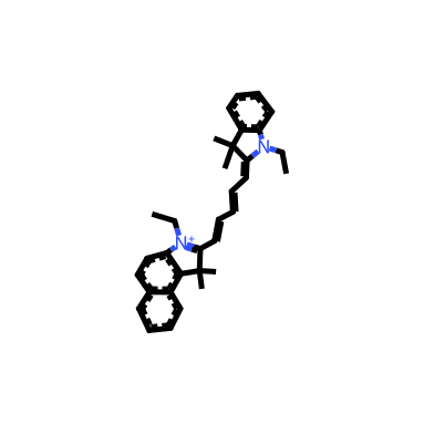 CCN1/C(=C/C=C/C=C/C2=[N+](CC)c3ccc4ccccc4c3C2(C)C)C(C)(C)c2ccccc21